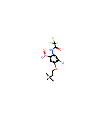 C[Si](C)(C)CCOc1cc([N+](=O)[O-])c(NC(=O)C(F)(F)F)cc1Cl